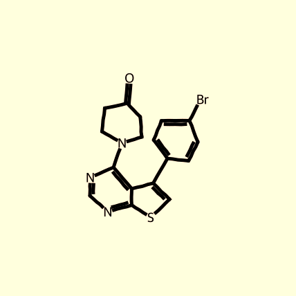 O=C1CCN(c2ncnc3scc(-c4ccc(Br)cc4)c23)CC1